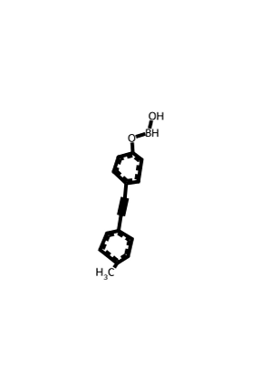 Cc1ccc(C#Cc2ccc(OBO)cc2)cc1